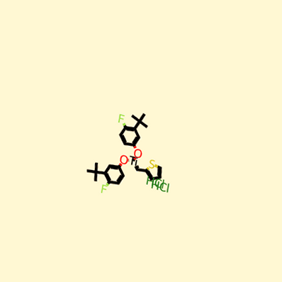 CC(C)(C)c1cc([O][Ti](=[CH]c2cccs2)[O]c2ccc(F)c(C(C)(C)C)c2)ccc1F.Cl.Cl